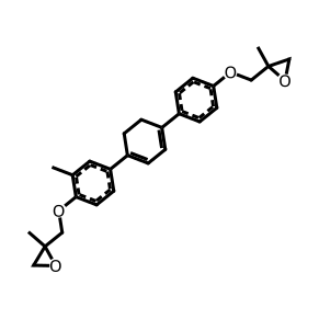 Cc1cc(C2=CC=C(c3ccc(OCC4(C)CO4)cc3)CC2)ccc1OCC1(C)CO1